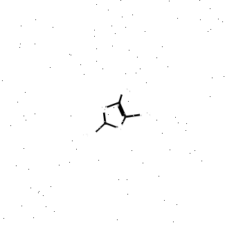 CCCCCC1NC(C#N)=C(C#N)N1